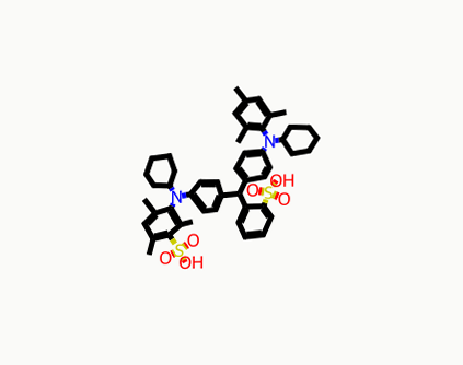 Cc1cc(C)c(N(c2ccc(C(c3ccc(N(c4c(C)cc(C)c(S(=O)(=O)O)c4C)C4CCCCC4)cc3)c3ccccc3S(=O)(=O)O)cc2)C2CCCCC2)c(C)c1